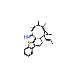 CC=CC12/C(=C(/C)C(C)/C=C\C(=N)C3=c4sc5ccccc5c4=CCC31)C2C